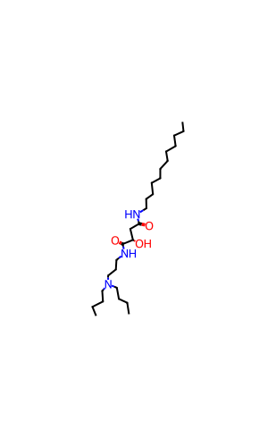 CCCCCCCCCCCCNC(=O)CC(O)C(=O)NCCCN(CCCC)CCCC